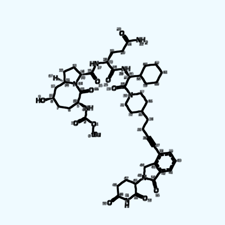 CC(C)(C)OC(=O)N[C@H]1CC[C@@H](O)C[C@H]2CC[C@@H](C(=O)N[C@@H](CCC(N)=O)C(=O)N[C@H](C(=O)N3CCC(CCC#Cc4cccc5c4CN(C4CCC(=O)NC4=O)C5=O)CC3)C3CCCCC3)N2C1=O